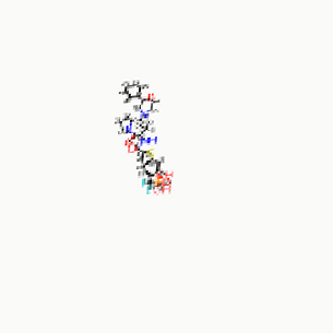 CC(C)(C)C(NC(=O)c1cc2cc(C(F)(F)P(=O)(O)O)ccc2s1)C(=O)N1CCC[C@H]1CN1CCO[C@H](c2ccccc2)C1